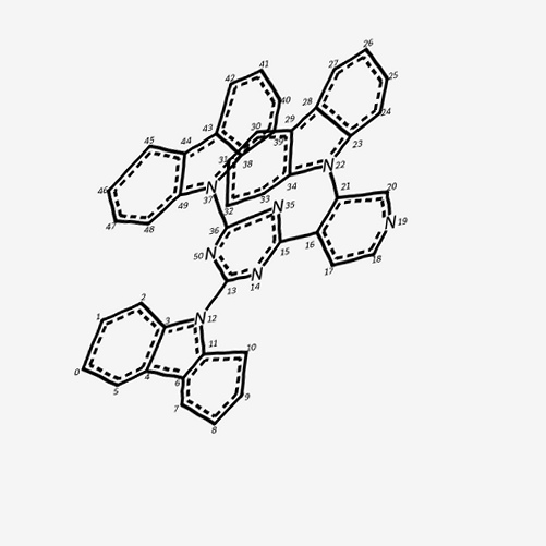 c1ccc2c(c1)c1ccccc1n2-c1nc(-c2ccncc2-n2c3ccccc3c3ccccc32)nc(-n2c3ccccc3c3ccccc32)n1